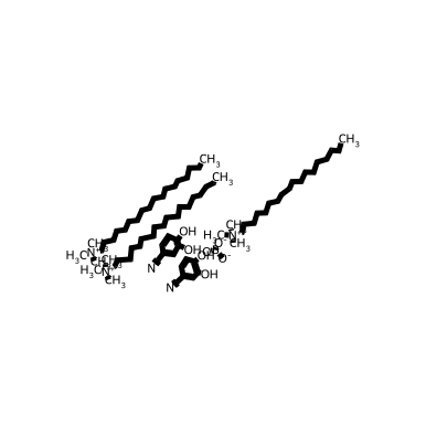 CCCCCCCCCCCCCCCCCC[N+](C)(C)C.CCCCCCCCCCCCCCCCCC[N+](C)(C)C.CCCCCCCCCCCCCCCCCC[N+](C)(C)C.N#Cc1ccc(O)c(O)c1.N#Cc1ccc(O)c(O)c1.[O-]B([O-])[O-]